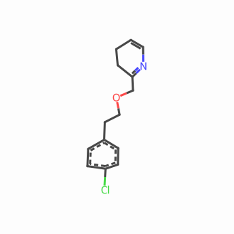 Clc1ccc(CCOCC2=NC=CCC2)cc1